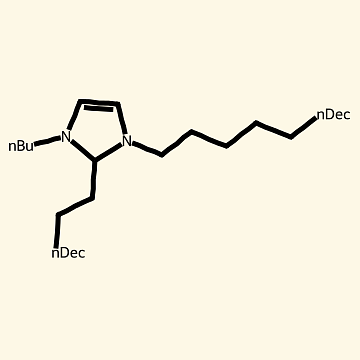 CCCCCCCCCCCCCCCN1C=CN(CCCC)C1CCCCCCCCCCCC